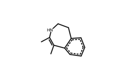 CC1=C(C)c2ccccc2CCN1